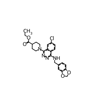 CCOC(=O)C1CCN(c2nnc(NCc3ccc4c(c3)OCO4)c3ccc(Cl)cc23)CC1